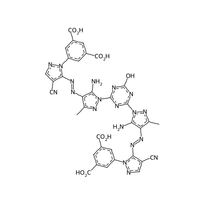 Cc1nn(-c2nc(O)nc(-n3nc(C)c(N=Nc4c(C#N)cnn4-c4cc(C(=O)O)cc(C(=O)O)c4)c3N)n2)c(N)c1N=Nc1c(C#N)cnn1-c1cc(C(=O)O)cc(C(=O)O)c1